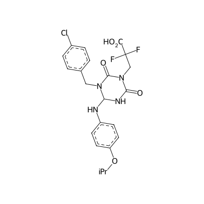 CC(C)Oc1ccc(NC2NC(=O)N(CC(F)(F)C(=O)O)C(=O)N2Cc2ccc(Cl)cc2)cc1